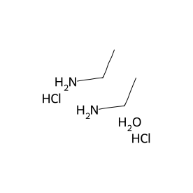 CCN.CCN.Cl.Cl.O